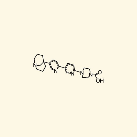 O=C(O)N1CCN(c2ccc(-c3ccc(C45CCCN(CCC4)C5)cn3)cn2)CC1